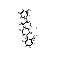 CC1=CN(C(=NN)C(=O)N2CCC(c3ccccc3C(F)(F)F)CC2)CC=C1